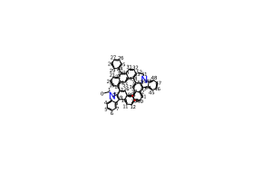 CCn1c2ccccc2c2c3ccccc3cc(-c3cccc4c(-c5ccccc5)c5cccc(-c6cc7ccccc7c7c8ccccc8n(CC)c67)c5cc34)c21